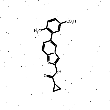 Cc1ccc(C(=O)O)cc1-c1ccc2nc(NC(=O)C3CC3)cn2c1